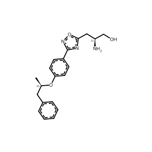 C[C@H](Cc1ccccc1)Oc1ccc(-c2noc(C[C@H](N)CO)n2)cc1